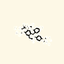 CCC(C)Oc1cc2c(cc1OC)CC(=O)N(c1ccc(N(C)C)cc1)C2c1ccc(Cl)cc1NC(C)=O